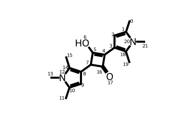 Cc1cc(C2=C(O)C(c3cc(C)n(C)c3C)C2=O)c(C)n1C